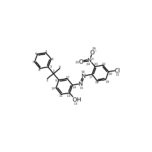 CC(C)(c1ccccc1)c1ccc(O)c(N=Nc2ccc(Cl)cc2[N+](=O)[O-])c1